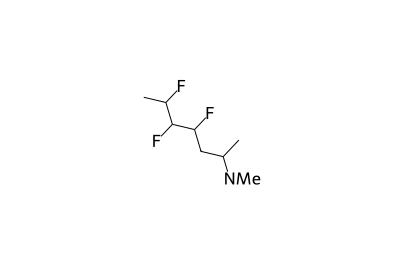 CNC(C)CC(F)C(F)C(C)F